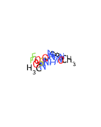 Cc1nc(-c2ccc3ccnc(NCCC(=O)Nc4nc(C)c(C(=O)OC(CF)CF)s4)c3c2)no1